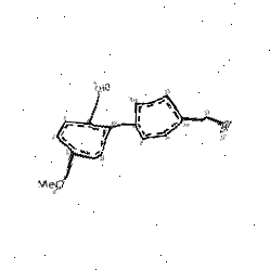 COc1ccc(C=O)c(-c2ccc(CBr)cc2)c1